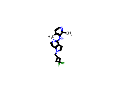 Cc1ccnc(C)c1Nc1nccc2c1ccn2CC1CC(F)(F)C1